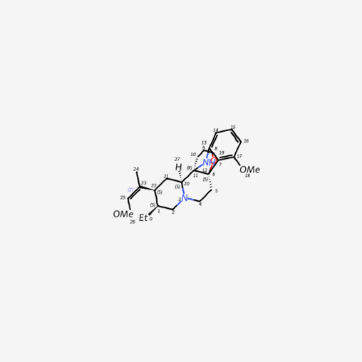 CC[C@@H]1CN2CC[C@@]34OCCC[C@@]3(Nc3cccc(OC)c34)[C@@H]2C[C@@H]1/C(C)=C\OC